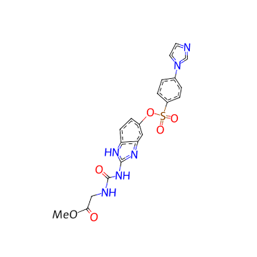 COC(=O)CNC(=O)Nc1nc2cc(OS(=O)(=O)c3ccc(-n4ccnc4)cc3)ccc2[nH]1